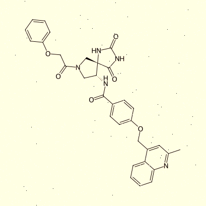 Cc1cc(COc2ccc(C(=O)N[C@@H]3CN(C(=O)COc4ccccc4)C[C@]34NC(=O)NC4=O)cc2)c2ccccc2n1